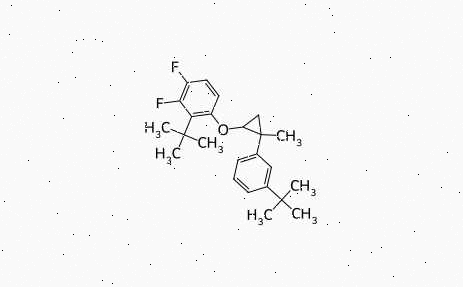 CC(C)(C)c1cccc(C2(C)CC2Oc2ccc(F)c(F)c2C(C)(C)C)c1